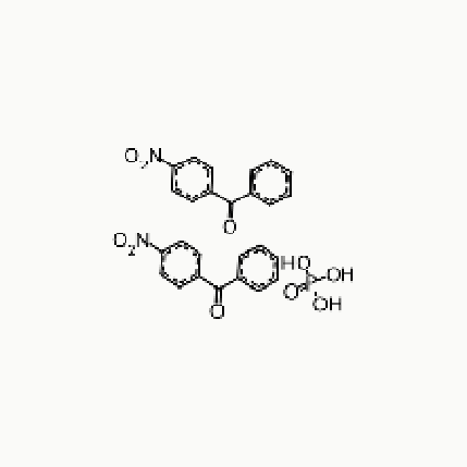 O=C(c1ccccc1)c1ccc([N+](=O)[O-])cc1.O=C(c1ccccc1)c1ccc([N+](=O)[O-])cc1.O=P(O)(O)O